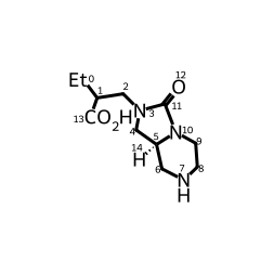 CCC(CN1C[C@@H]2CNCCN2C1=O)C(=O)O